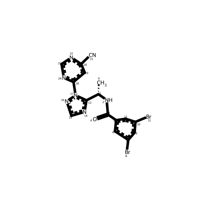 C[C@H](NC(=O)c1cc(Br)cc(Br)c1)c1ncnn1-c1cc(C#N)ncn1